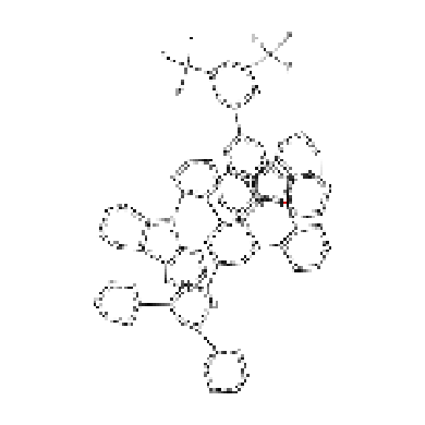 FC(F)(F)c1cc(-c2ccc3c(c2)c2ccccc2n3-c2c(-c3ccccc3-n3c4ccccc4c4ccccc43)cc(-c3nc(-c4ccccc4)cc(-c4ccccc4)n3)cc2-c2ccccc2-n2c3ccccc3c3ccccc32)cc(C(F)(F)F)c1